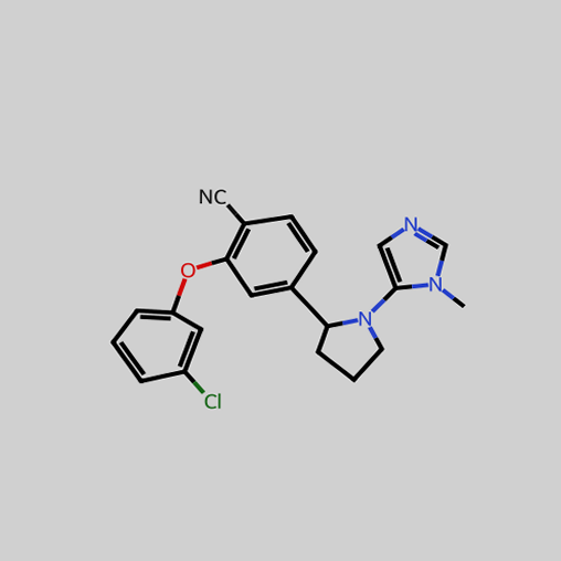 Cn1cncc1N1CCCC1c1ccc(C#N)c(Oc2cccc(Cl)c2)c1